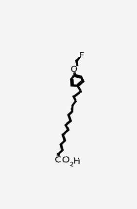 O=C(O)CCCCCCCCCCCCCCc1ccc(OCCF)cc1